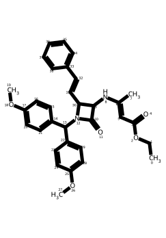 CCOC(=O)C=C(C)NC1C(=O)N(C(c2ccc(OC)cc2)c2ccc(OC)cc2)C1C=Cc1ccccc1